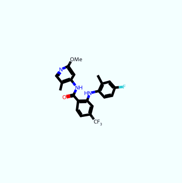 COc1cc(NC(=O)c2ccc(C(F)(F)F)cc2Nc2ccc(F)cc2C)c(C)cn1